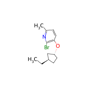 CC[C@@H]1CC[C@@H](Oc2ccc(C)nc2Br)C1